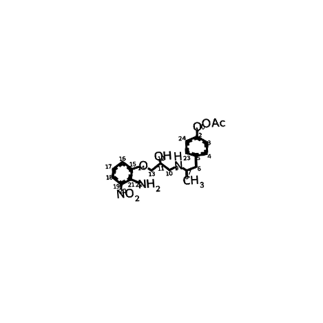 CC(=O)OOc1ccc(CC(C)NCC(O)COc2cccc([N+](=O)[O-])c2N)cc1